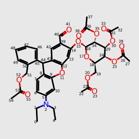 CCN(CC)c1ccc2c(c1)Oc1cc(O[C@@H]3O[C@H](COC(C)=O)[C@H](OC(C)=O)[C@H](OC(C)=O)[C@H]3OC(C)=O)c(C=O)cc1C2c1ccccc1COC(C)=O